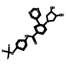 O=C(Nc1ccc(OC(F)(F)F)cc1)c1ccc(N2CC(O)C(O)C2)c(-c2cncnc2)c1